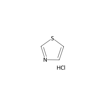 Cl.c1cscn1